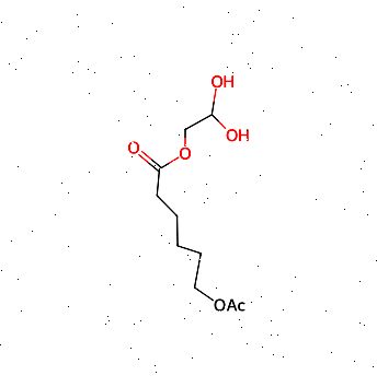 CC(=O)OCCCCCC(=O)OCC(O)O